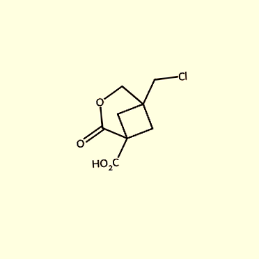 O=C(O)C12CC(CCl)(COC1=O)C2